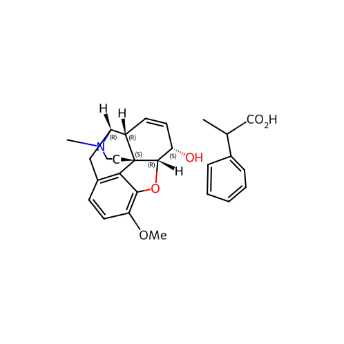 CC(C(=O)O)c1ccccc1.COc1ccc2c3c1O[C@H]1[C@@H](O)C=C[C@H]4[C@@H](C2)N(C)CC[C@@]341